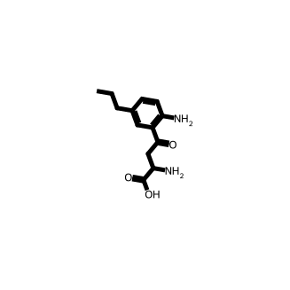 CCCc1ccc(N)c(C(=O)CC(N)C(=O)O)c1